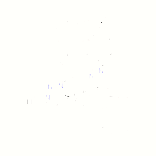 C[C@H](Oc1cccc(-c2cccc(-n3ncc(C(=O)OC4CCOC4)c3[C@@H]3C[C@H]3c3cn(C)nn3)c2)c1)C1CCCCC1